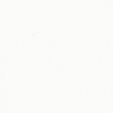 CCO[Si](CC)(OCC)c1ccccc1C(C)C